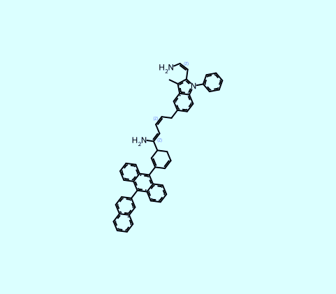 Cc1c(/C=C\N)n(-c2ccccc2)c2ccc(C/C=C\C=C(/N)C3C=C(c4c5ccccc5c(-c5ccc6ccccc6c5)c5ccccc45)C=CC3)cc12